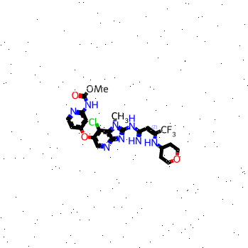 COC(=O)Nc1cc(Oc2cnc3nc(NC(=N)/C=C(\NC4CCOCC4)C(F)(F)F)n(C)c3c2Cl)ccn1